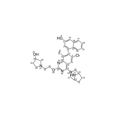 Oc1cc(-c2c(Cl)cc3c(N4CC5CCC(C4)N5)nc(OCCN4CCC(O)C4)nc3c2F)c2ccccc2c1